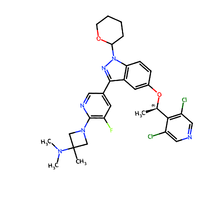 C[C@@H](Oc1ccc2c(c1)c(-c1cnc(N3CC(C)(N(C)C)C3)c(F)c1)nn2C1CCCCO1)c1c(Cl)cncc1Cl